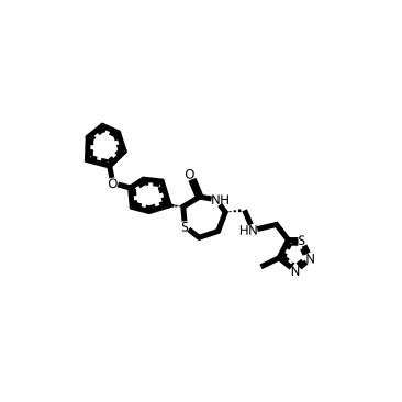 Cc1nnsc1CNC[C@@H]1CCS[C@H](c2ccc(Oc3ccccc3)cc2)C(=O)N1